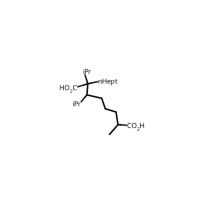 CCCCCCCC(C(=O)O)(C(C)C)C(CCCC(C)C(=O)O)C(C)C